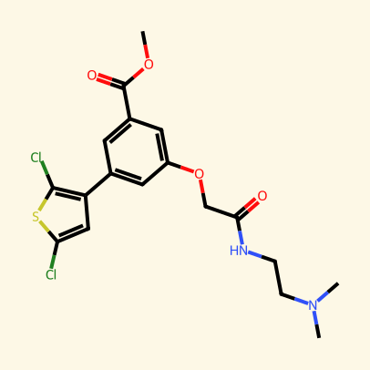 COC(=O)c1cc(OCC(=O)NCCN(C)C)cc(-c2cc(Cl)sc2Cl)c1